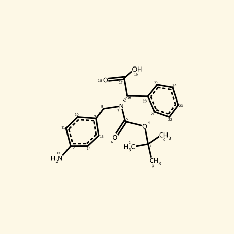 CC(C)(C)OC(=O)N(Cc1ccc(N)cc1)[C@H](C(=O)O)c1ccccc1